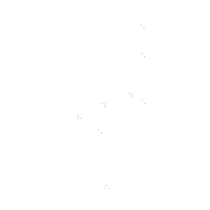 CS(=O)(=O)N1CCN(CC(=O)n2ncc3c(-c4ccc5cc[nH]c5c4)nc(N4CCOCC4)nc32)CC1